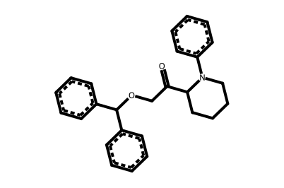 O=C(COC(c1ccccc1)c1ccccc1)C1CCCCN1c1ccccc1